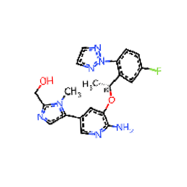 C[C@@H](Oc1cc(-c2cnc(CO)n2C)cnc1N)c1cc(F)ccc1-n1nccn1